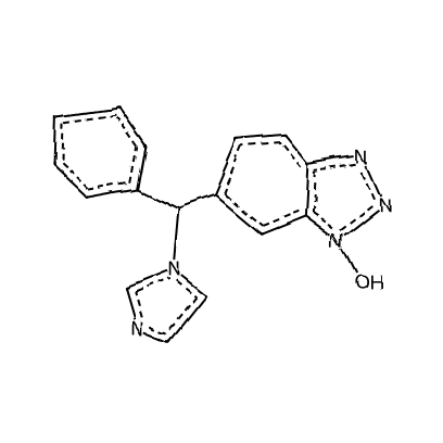 On1nnc2ccc(C(c3ccccc3)n3ccnc3)cc21